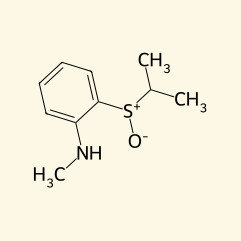 CNc1ccccc1[S+]([O-])C(C)C